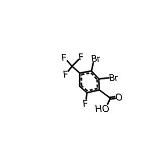 O=C(O)c1c(F)cc(C(F)(F)F)c(Br)c1Br